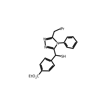 CCOC(=O)c1ccc(C(S)c2nnc(CC(C)C)n2-c2ccccc2)cc1